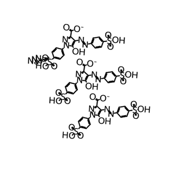 O=C([O-])c1nn(-c2ccc(S(=O)(=O)O)cc2)c(O)c1N=Nc1ccc(S(=O)(=O)O)cc1.O=C([O-])c1nn(-c2ccc(S(=O)(=O)O)cc2)c(O)c1N=Nc1ccc(S(=O)(=O)O)cc1.O=C([O-])c1nn(-c2ccc(S(=O)(=O)O)cc2)c(O)c1N=Nc1ccc(S(=O)(=O)O)cc1.[Na+].[Na+].[Na+]